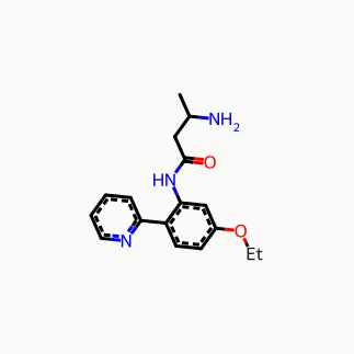 CCOc1ccc(-c2ccccn2)c(NC(=O)CC(C)N)c1